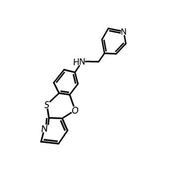 c1cnc2c(c1)Oc1cc(NCc3ccncc3)ccc1S2